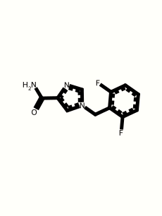 NC(=O)c1cn(Cc2c(F)cccc2F)cn1